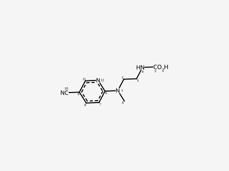 CN(CCNC(=O)O)c1ccc(C#N)cn1